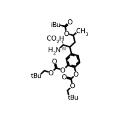 CCC(C)C(=O)OC(C)CC(c1ccc(OC(=O)OCC(C)(C)C)c(OC(=O)OCC(C)(C)C)c1)[C@H](N)C(=O)O